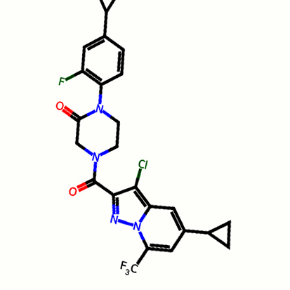 O=C(c1nn2c(C(F)(F)F)cc(C3CC3)cc2c1Cl)N1CCN(c2ccc(C3CC3)cc2F)C(=O)C1